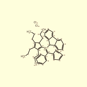 CCCC1=C(CCC)C(CCC)[C]([Zr+2](=[C](c2ccccc2)c2ccccc2)[CH]2c3ccccc3-c3ccccc32)=C1CCC.[Cl-].[Cl-]